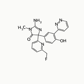 CN1C(=O)C(c2ccc(O)c(-c3cccnn3)c2)(c2cccc(CF)n2)N=C1N